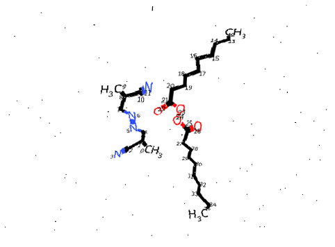 CC(C#N)CN=NCC(C)C#N.CCCCCCCCCC(=O)OOC(=O)CCCCCCCCC